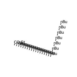 CCCCC.CCCCC.CCCCC.CCCCC.CCCCC.CCCCC.CCCCC.CCCCC.CCCCC.CCCCC.CCCCC.CCCCC.CCCCC.CCCCC.CCCCC.CCCCC.CCCCC.CCCCC.CCCCC.CCCCC.CCCCC.CCCCC.CCCCC.CCOC(C)=O